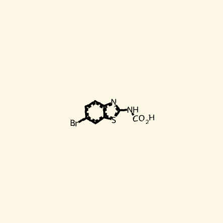 O=C(O)Nc1nc2ccc(Br)cc2s1